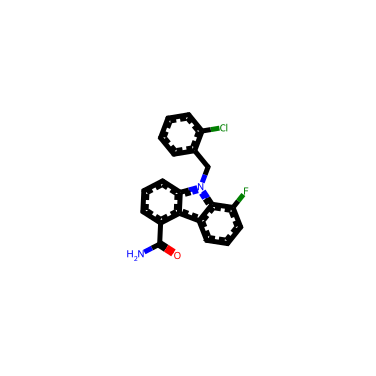 NC(=O)c1cccc2c1c1[c]ccc(F)c1n2Cc1ccccc1Cl